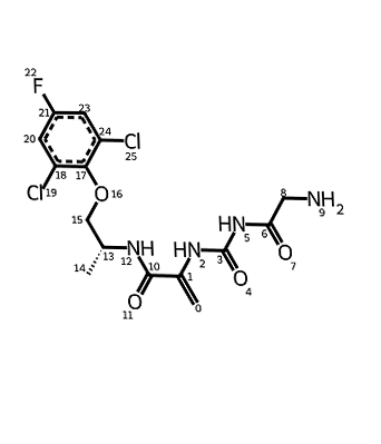 C=C(NC(=O)NC(=O)CN)C(=O)N[C@H](C)COc1c(Cl)cc(F)cc1Cl